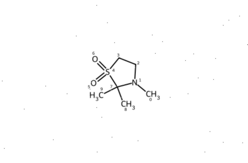 CN1CCS(=O)(=O)C1(C)C